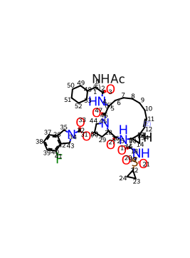 CC(=O)N[C@H](C(=O)N[C@H]1CCCCC/C=C\[C@@H]2C[C@@]2(C(=O)NS(=O)(=O)C2CC2)NC(=O)C2C[C@@H](OC(=O)N3Cc4cccc(F)c4C3)CN2C1=O)C1CCCCC1